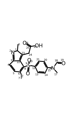 CC1N=c2ccc(F)c(S(=O)(=O)c3ccc(N(C)C=O)cc3)c2=C1CC(=O)O